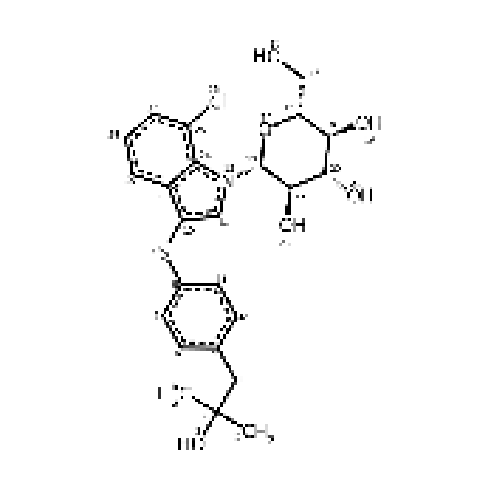 CC(C)(O)Cc1ccc(Sc2cn([C@@H]3O[C@H](CO)[C@@H](O)[C@H](O)[C@H]3O)c3c(Cl)cccc23)cc1